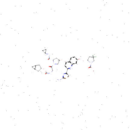 CC[C@@H]1C[C@]1(NC(=O)[C@@H]1C[C@@H](Oc2cc(-c3csc(NC(C)C)n3)nc3c(Cl)c(OC[C@@H]4CC(F)(F)CN4C(=O)OC(C)(C)C)ccc23)CN1C(=O)[C@@H](NC(=O)O[C@@H]1C[C@@H]2C[C@@H]2C1)C(C)(C)C)C(=O)O